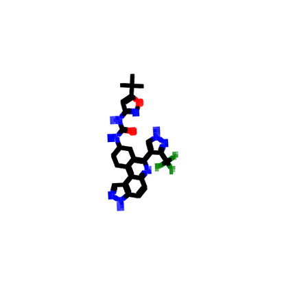 CC(C)(C)c1cc(NC(=O)NC2CCc3c(c(-c4c[nH]nc4C(F)(F)F)nc4ccc5[nH]ncc5c34)C2)no1